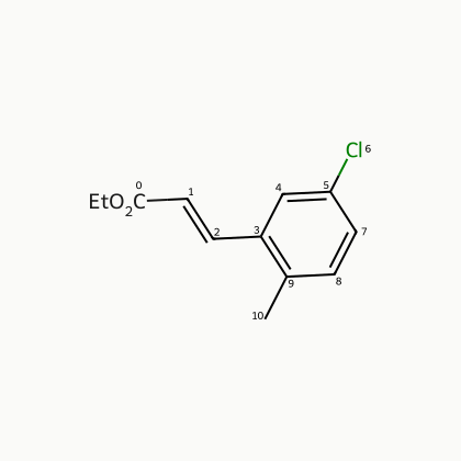 CCOC(=O)/C=C/c1cc(Cl)ccc1C